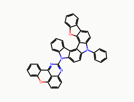 c1ccc(-n2c3ccc4c5ccccc5oc4c3c3c4c5ccccc5n(-c5nc6c7c(cccc7n5)Oc5ccccc5-6)c4ccc32)cc1